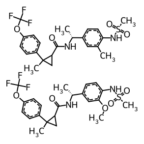 COc1cc([C@@H](C)NC(=O)C2CC2(C)c2ccc(OC(F)(F)F)cc2)ccc1NS(C)(=O)=O.Cc1cc([C@@H](C)NC(=O)C2CC2(C)c2ccc(OC(F)(F)F)cc2)ccc1NS(C)(=O)=O